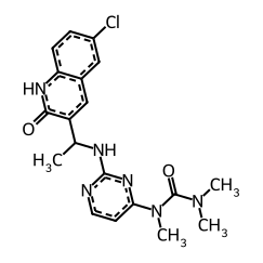 CC(Nc1nccc(N(C)C(=O)N(C)C)n1)c1cc2cc(Cl)ccc2[nH]c1=O